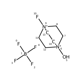 F[B-](F)(F)F.O[N+]12CC[N+](F)(CC1)CC2